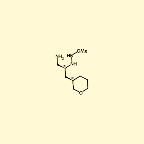 COBN[C@H](CN)C[C@H]1CCCOC1